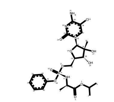 CC(C)OC(=O)[C@@H](C)N[P@@](=O)(OC[C@H]1O[C@@H](n2cc(Cl)c(N)nc2=O)[C@](C)(O)[C@@H]1O)Oc1ccccc1